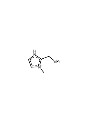 CCCCc1[nH]cc[n+]1C